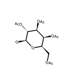 CC(=O)OC[C@H]1O[C@@H]([O])[C@H](OC(C)=O)[C@@H](OC(C)=O)[C@H]1OC(C)=O